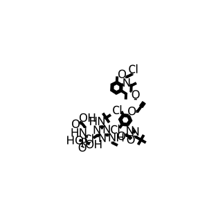 C#CCOc1cc(-n2nc(C(C)(C)C)oc2=O)c(Cl)cc1Cl.CCNc1nc(Cl)nc(NC(C)(C)C)n1.CCc1cccc(C)c1N(C(=O)CCl)C(C)COC.O=C(O)CNCP(=O)(O)O